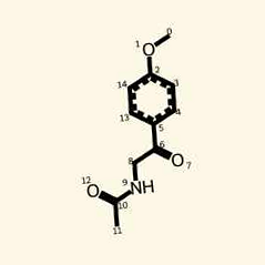 COc1ccc(C(=O)CNC(C)=O)cc1